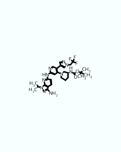 CC(C)n1nc(N)c2ccc(Nc3cc(N4CCC[C@H](NC(=O)OC(C)(C)C)C4)c(-c4cnn(CC(F)(F)F)c4)cn3)nc21